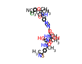 Cc1ncsc1-c1ccc(C(C)NC(=O)[C@@H]2C[C@@H](O)CN2C(=O)[C@@H](NC(=O)COCCN2CCN(c3ccc(C(=O)N[C@H]4C(C)(C)[C@H](Oc5ccc(C#N)c(Cl)c5)C4(C)C)cc3)CC2)C(C)(C)O)cc1